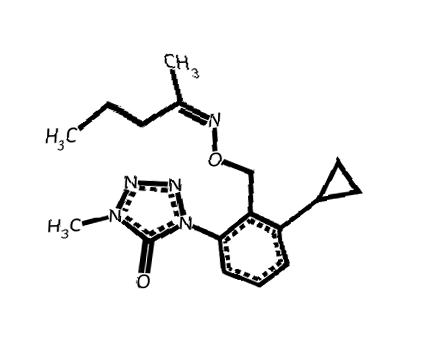 CCCC(C)=NOCc1c(C2CC2)cccc1-n1nnn(C)c1=O